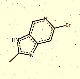 Cc1nc2cc(Br)ncc2[nH]1